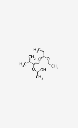 C=C(C)C(=O)OC(C)O.C=CC(=O)OCC